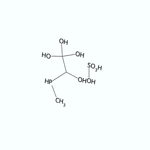 CPC(O)C(O)(O)O.O=S(=O)(O)O